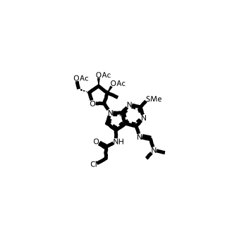 CSc1nc(/N=C/N(C)C)c2c(NC(=O)CCl)cn(C3O[C@H](COC(C)=O)[C@@H](OC(C)=O)[C@@]3(C)OC(C)=O)c2n1